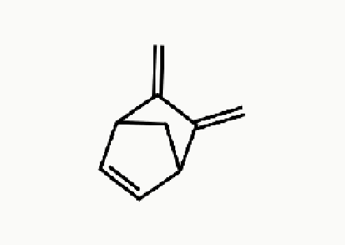 C=C1C(=C)C2C=CC1C2